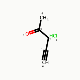 C#CCC(C)=O.Cl